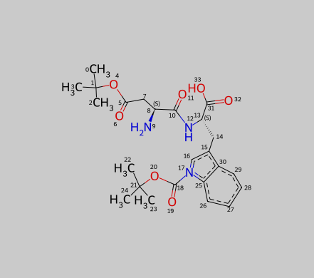 CC(C)(C)OC(=O)C[C@H](N)C(=O)N[C@@H](Cc1cn(C(=O)OC(C)(C)C)c2ccccc12)C(=O)O